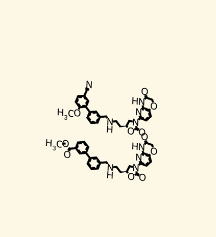 COC(=O)c1cccc(-c2cccc(CNCC[C@H]3CN(c4ccc5c(n4)NC(=O)CO5)C(=O)O3)c2)c1.COc1ccc(C#N)cc1-c1cccc(CNCC[C@H]2CN(c3ccc4c(n3)NC(=O)CO4)C(=O)O2)c1